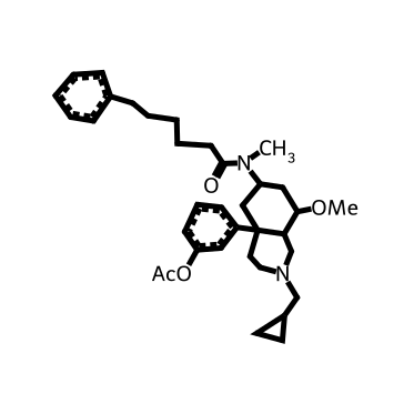 COC1CC(N(C)C(=O)CCCCCc2ccccc2)CC2(c3cccc(OC(C)=O)c3)CCN(CC3CC3)CC12